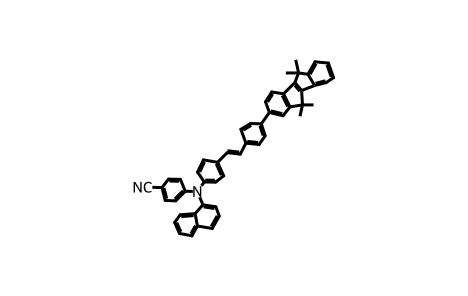 CC1(C)C2=C(c3ccccc31)C(C)(C)c1cc(-c3ccc(/C=C/c4ccc(N(c5ccc(C#N)cc5)c5cccc6ccccc56)cc4)cc3)ccc12